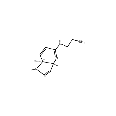 CN1N=CC2(C)N=C(NCCN)C=C[C@]12C